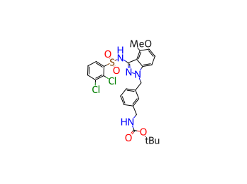 COc1cccc2c1c(NS(=O)(=O)c1cccc(Cl)c1Cl)nn2Cc1cccc(CNC(=O)OC(C)(C)C)c1